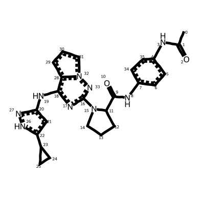 CC(=O)Nc1ccc(NC(=O)C2CCCN2c2nc(Nc3cc(C4CC4)[nH]n3)c3cccn3n2)cc1